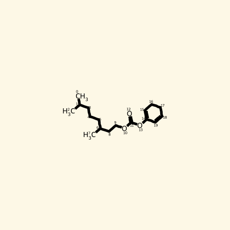 CC(C)CCCC(C)CCOC(=O)OC1=CCCC=C1